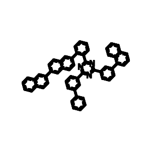 c1ccc(-c2cccc(-c3nc(-c4cccc(-c5cccc6ccccc56)c4)nc(-c4ccccc4-c4ccc5cc(-c6ccc7ccccc7c6)ccc5c4)n3)c2)cc1